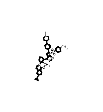 Cc1ccc(S(=O)(=O)n2c(-c3ccc(C4CCNCC4)cc3)cc3c(-c4cccc(-n5ccc6cc(C7CC7)ccc6c5=O)c4C)ncnc32)cc1